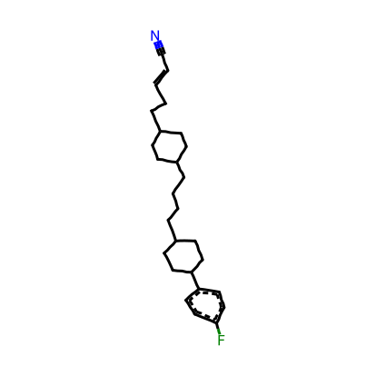 N#CC=CCCC1CCC(CCCCC2CCC(c3ccc(F)cc3)CC2)CC1